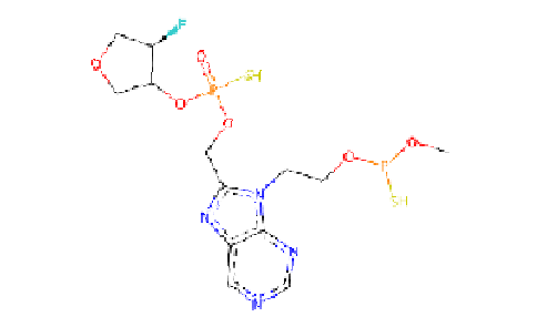 COP(S)OCCn1c(COP(=O)(S)OC2COC[C@H]2F)nc2cncnc21